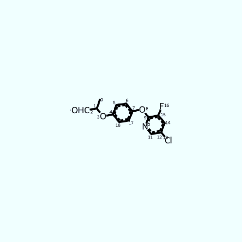 CC([C]=O)Oc1ccc(Oc2ncc(Cl)cc2F)cc1